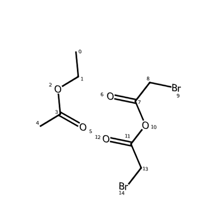 CCOC(C)=O.O=C(CBr)OC(=O)CBr